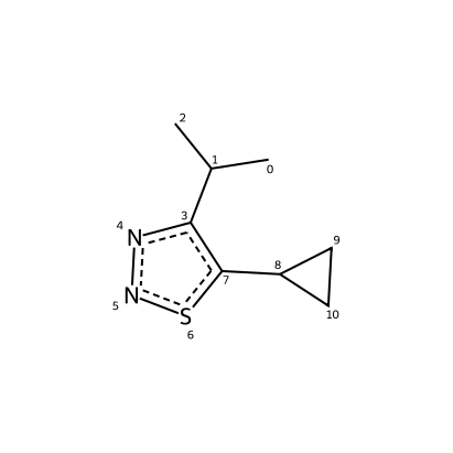 CC(C)c1nnsc1C1CC1